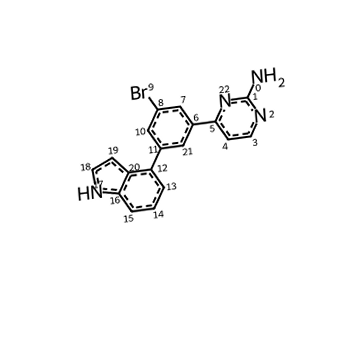 Nc1nccc(-c2cc(Br)cc(-c3cccc4[nH]ccc34)c2)n1